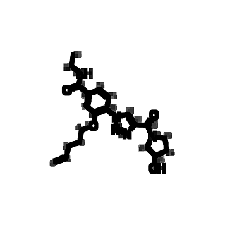 C=CCCCOc1cc(C(=O)NCC)ccc1-n1cc(C(=O)N2CCC(O)C2)nn1